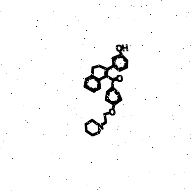 O=C(C1=C(c2cccc(O)c2)CCc2ccccc21)c1ccc(OCCN2CCCCC2)cc1